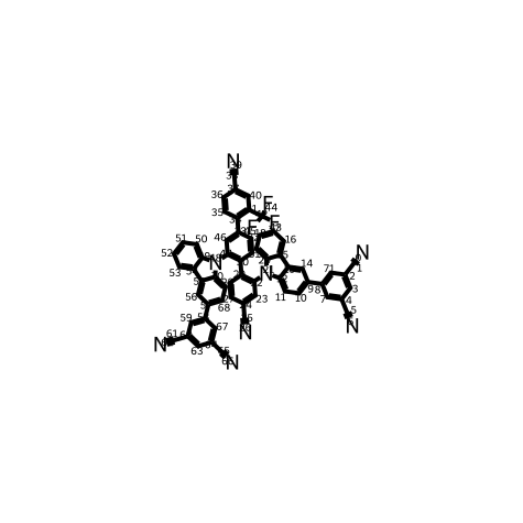 N#Cc1cc(C#N)cc(-c2ccc3c(c2)c2ccccc2n3-c2cc(C#N)ccc2-c2ccc(-c3ccc(C#N)cc3C(F)(F)F)cc2-n2c3ccccc3c3cc(-c4cc(C#N)cc(C#N)c4)ccc32)c1